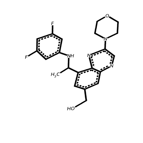 CC(Nc1cc(F)cc(F)c1)c1cc(CO)cc2ncc(N3CCOCC3)nc12